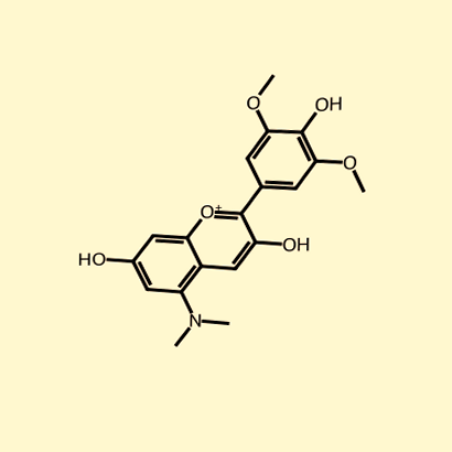 COc1cc(-c2[o+]c3cc(O)cc(N(C)C)c3cc2O)cc(OC)c1O